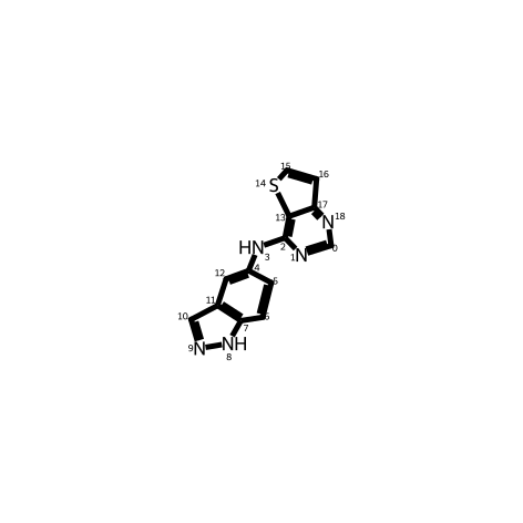 c1nc(Nc2ccc3[nH]ncc3c2)c2sccc2n1